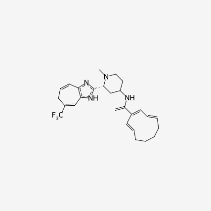 C=C(NC1CCN(C)[C@@H](c2nc3c([nH]2)C=C(C(F)(F)F)CC=C3)C1)C1=C/C=C/CCCC\C=C\1